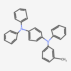 Cc1cccc(N(c2ccccc2)c2ccc(N(c3ccccc3)c3ccccc3)cc2)c1